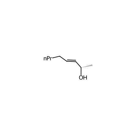 CCCCC=C[C@H](C)O